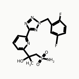 CC(O)(CS(N)(=O)=O)c1cccc(-c2nnn(Cc3cc(F)ccc3F)n2)n1